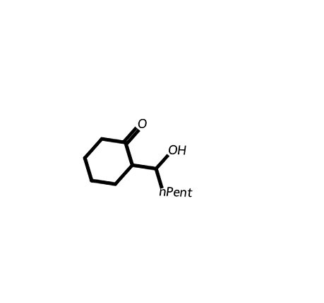 CCCCCC(O)C1CCCCC1=O